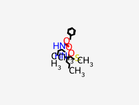 CCCCC(NCC(CC(C)C)NC(=O)OCc1ccccc1)C(=O)CSC